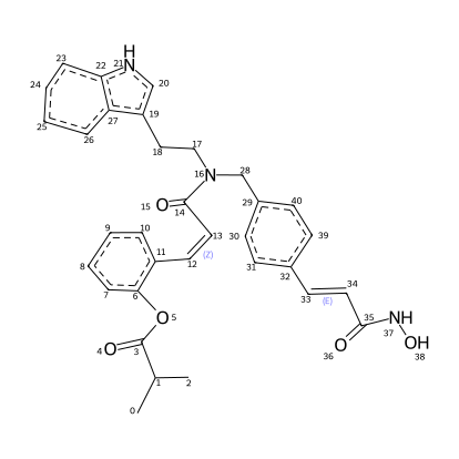 CC(C)C(=O)Oc1ccccc1/C=C\C(=O)N(CCc1c[nH]c2ccccc12)Cc1ccc(/C=C/C(=O)NO)cc1